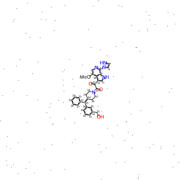 COc1cnc(-n2cc[nH]2)c2[nH]cc(C(=O)C(=O)N3CCC(=C(c4ccccc4)c4cccc(CO)c4)CC3)c12